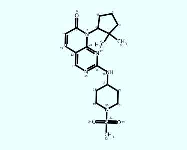 CC1(C)CCCC1n1c(=O)cnc2cnc(NC3CCN(S(C)(=O)=O)CC3)nc21